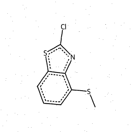 CSc1cccc2sc(Cl)nc12